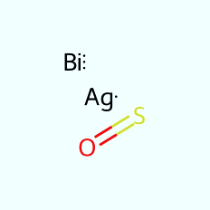 O=S.[Ag].[Bi]